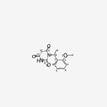 COc1ccccc1C(C)N1C(=O)CC(=O)NC1=O